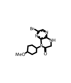 COC1CCC(N2C(=O)CNc3ncc(Br)nc32)CC1